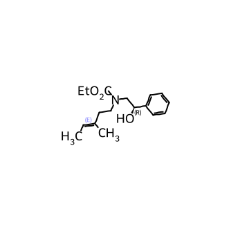 C/C=C(\C)CCN(C[C@H](O)c1ccccc1)C(=O)OCC